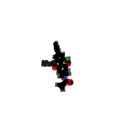 CC#Cc1cc(Cl)c(C2C(=O)CC3(CC2=O)CN(C(=O)C2CC2)C3)c(OC)c1